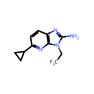 Nc1nc2ccc(C3CC3)nc2n1CC(F)(F)F